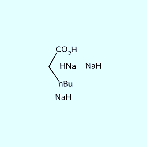 CCCCCC(=O)O.[NaH].[NaH].[NaH]